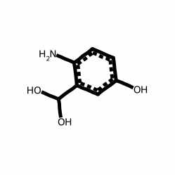 Nc1ccc(O)cc1C(O)O